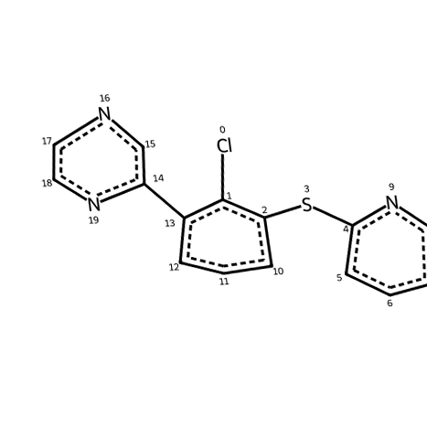 Clc1c(Sc2ccccn2)cccc1-c1cnccn1